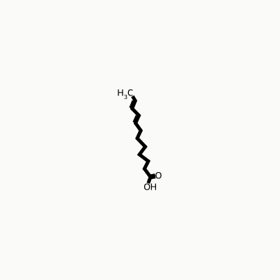 CC=CC=CCCCCCCC(=O)O